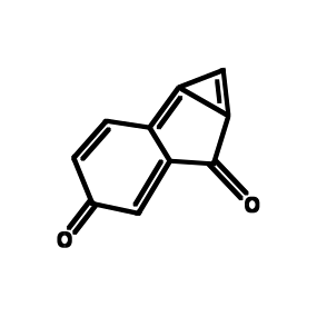 O=C1C=CC2=C3C=C3C(=O)C2=C1